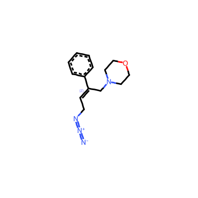 [N-]=[N+]=NC/C=C(\CN1CCOCC1)c1ccccc1